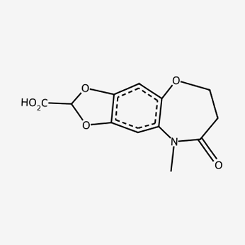 CN1C(=O)CCOc2cc3c(cc21)OC(C(=O)O)O3